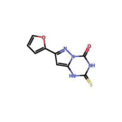 O=c1[nH]c(=S)[nH]c2cc(-c3ccco3)nn12